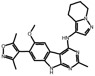 COc1cc2c(cc1-c1c(C)noc1C)[nH]c1nc(C)nc(Nc3cnn4c3CCCC4)c12